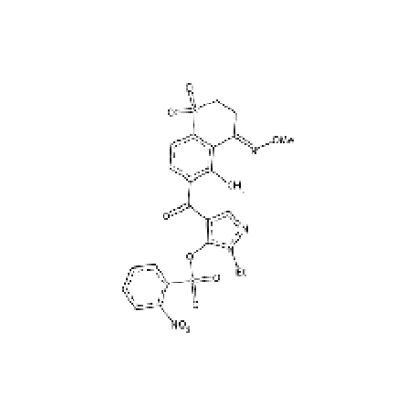 CCn1ncc(C(=O)c2ccc3c(c2C)C(=NOC)CCS3(=O)=O)c1OS(=O)(=O)c1ccccc1[N+](=O)[O-]